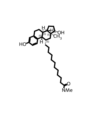 CNC(=O)CCCCCCCCCCC[C@H]1C[C@]2(C)[C@@H](O)CC[C@H]2[C@@H]2CCc3cc(O)ccc3[C@@H]12